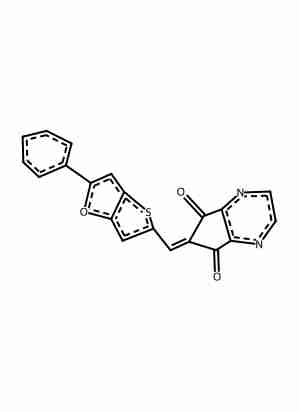 O=C1C(=Cc2cc3oc(-c4ccccc4)cc3s2)C(=O)c2nccnc21